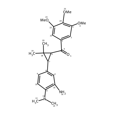 COc1cc(C(=O)C2C(c3ccc(N(C)C)c(N)c3)C2(C)C)cc(OC)c1OC